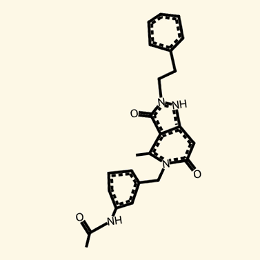 CC(=O)Nc1cccc(Cn2c(C)c3c(=O)n(CCc4ccccc4)[nH]c3cc2=O)c1